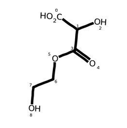 O=C(O)C(O)C(=O)OCCO